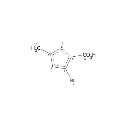 Cc1cc(Br)c(C(=O)O)s1